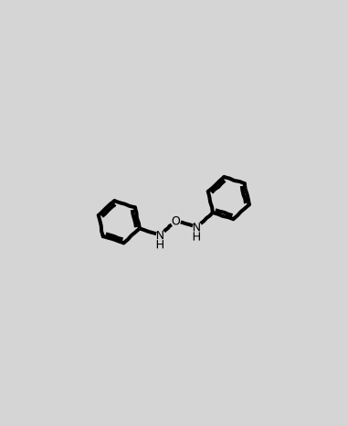 c1ccc(NONc2ccccc2)cc1